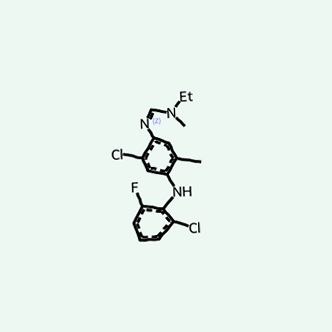 CCN(C)/C=N\c1cc(C)c(Nc2c(F)cccc2Cl)cc1Cl